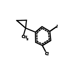 CC1(c2cc(Cl)cc(I)c2)CC1